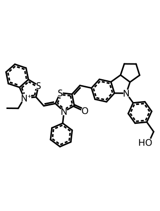 CC[n+]1c(/C=c2\s/c(=C/c3ccc4c(c3)C3CCCC3N4c3ccc(CO)cc3)c(=O)n2-c2ccccc2)sc2ccccc21